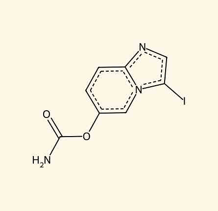 NC(=O)Oc1ccc2ncc(I)n2c1